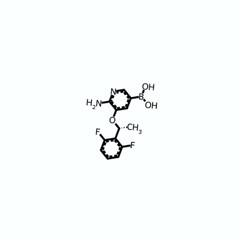 C[C@@H](Oc1cc(B(O)O)cnc1N)c1c(F)cccc1F